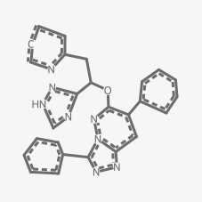 c1ccc(-c2cc3nnc(-c4ccccc4)n3nc2OC(Cc2ccccn2)c2nc[nH]n2)cc1